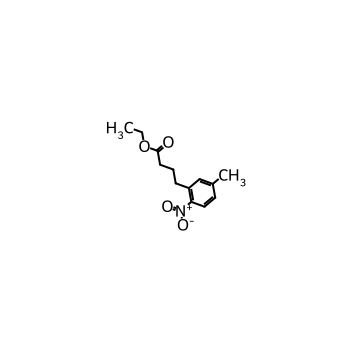 CCOC(=O)CCCc1cc(C)ccc1[N+](=O)[O-]